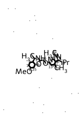 COc1ccc(C(C)NC(=O)COc2cc(C)c3c(C(C)C)nn(C)c3n2)cc1